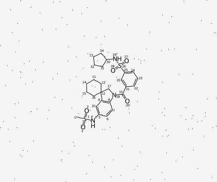 CS(=O)(=O)Nc1ccc2c(c1)C1(CCCCC1)CN2C(=O)c1cccc(S(=O)(=O)NC2CCCC2)c1